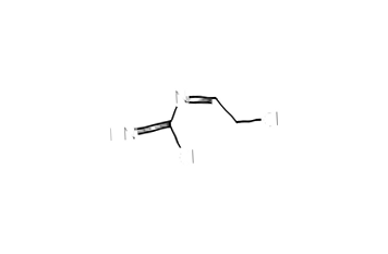 N=C(Cl)/N=C\CCl